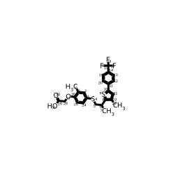 Cc1cc(SCC(C)c2sc(-c3ccc(C(F)(F)F)cc3)cc2C)ccc1OCC(=O)O